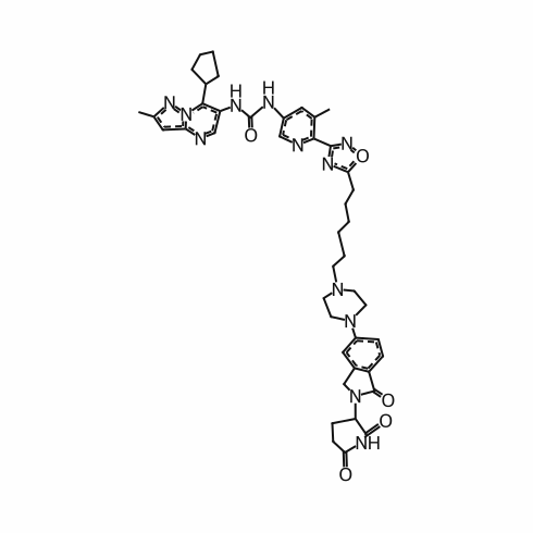 Cc1cc2ncc(NC(=O)Nc3cnc(-c4noc(CCCCCCN5CCN(c6ccc7c(c6)CN(C6CCC(=O)NC6=O)C7=O)CC5)n4)c(C)c3)c(C3CCCC3)n2n1